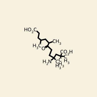 CC(CCC(=O)O)CC(C)C(=O)CCC(C)(N)CC(C)(C)C(=O)O